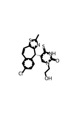 Cc1nc2c(s1)C=Cc1cc(Cl)ccc1[C@H]2c1cn(CCO)c(=O)[nH]c1=S